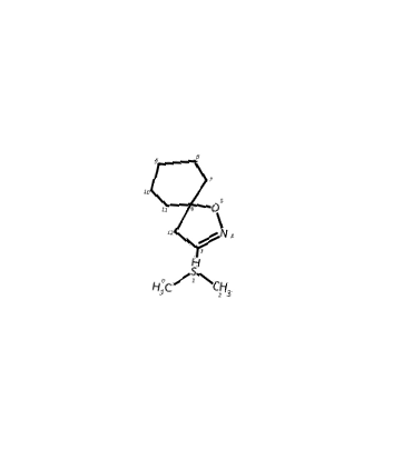 C[SH](C)C1=NOC2(CCCCC2)C1